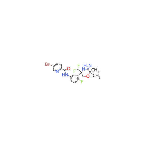 CC1(C)OCC(c2cc(NC(=O)c3ccc(Br)cn3)ccc2F)(C(F)F)N=C1N